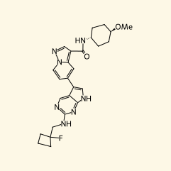 CO[C@H]1CC[C@H](NC(=O)c2cnn3ccc(-c4c[nH]c5nc(NCC6(F)CCC6)ncc45)cc23)CC1